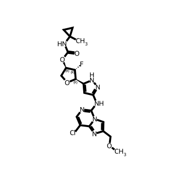 COCc1cn2c(Nc3cc([C@H]4OC[C@@H](OC(=O)NC5(C)CC5)[C@@H]4F)[nH]n3)ncc(Cl)c2n1